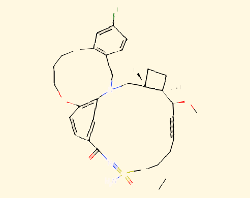 CC[C@H]1C/C=C/[C@H](OC)[C@@H]2CC[C@H]2CN2Cc3ccc(Cl)cc3CCCCOc3ccc(cc32)C(=O)N=S(N)(=O)C1